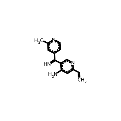 C=Cc1cc(N)c(C(=N)c2ccnc(C)c2)cn1